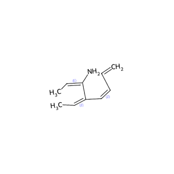 C=C\C=C/C(=C/C)C(/N)=C\C